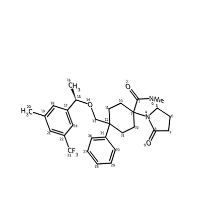 CNC(=O)C1(N2CCCC2=O)CCC(CO[C@H](C)c2cc(C)cc(C(F)(F)F)c2)(c2ccccc2)CC1